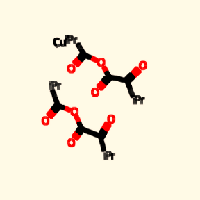 CC(C)C(=O)OC(=O)C(=O)C(C)C.CC(C)C(=O)OC(=O)C(=O)C(C)C.[Cu]